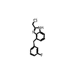 Fc1cccc(Cc2cccc3[nH]c(CCl)nc23)c1